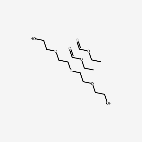 CCOC=O.CCOC=O.OCCOCCOCCOCCO